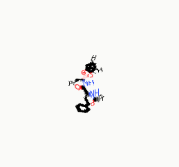 CC(C)C[C@H](NC(=O)[C@H](CCc1ccccc1)NC(=O)C(C)C)B1OC2C[C@H]3C[C@H](C3(C)C)[C@@]2(C)O1